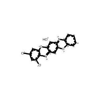 Cl.Clc1cc(Cl)c2c(c1)Oc1cc3c(cc1=N2)Oc1ccccc1N=3